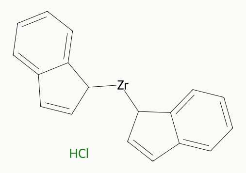 C1=C[CH]([Zr][CH]2C=Cc3ccccc32)c2ccccc21.Cl